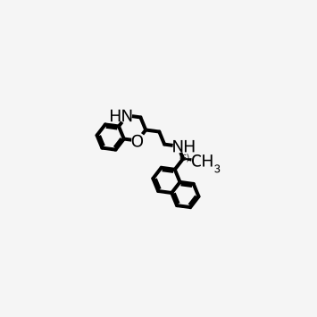 C[C@H](NCCC1CNc2ccccc2O1)c1cccc2ccccc12